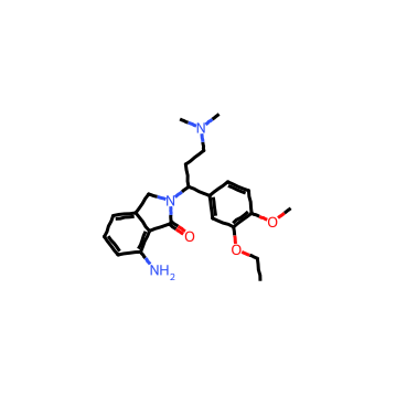 CCOc1cc(C(CCN(C)C)N2Cc3cccc(N)c3C2=O)ccc1OC